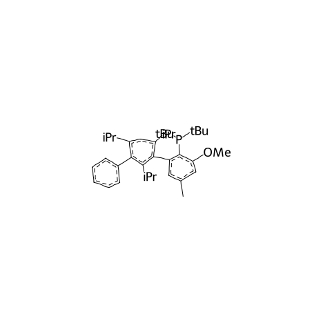 COc1cc(C)cc(-c2c(C(C)C)cc(C(C)C)c(-c3ccccc3)c2C(C)C)c1P(C(C)(C)C)C(C)(C)C